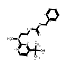 CN(CCNC(=O)OCc1ccccc1)c1nccc(C(C)(C)O)n1